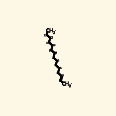 [CH2]C=CCCCCCCCCCCC[CH2]